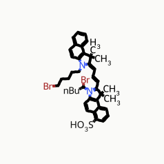 CCCCC(Br)[N+]1=C(/C=C/C=C2\N(CCCCCBr)c3ccc4ccccc4c3C2(C)C)C(C)(C)c2c1ccc1c(S(=O)(=O)O)cccc21